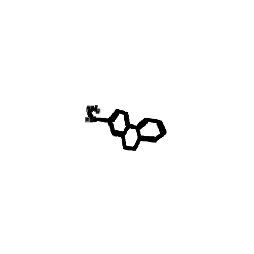 NNc1ccc2c(c1)CCc1ccccc1-2